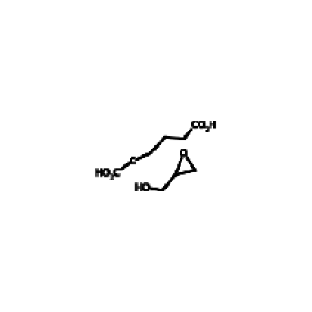 O=C(O)CCCCC(=O)O.OCC1CO1